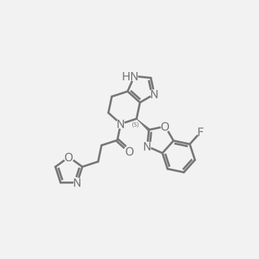 O=C(CCc1ncco1)N1CCc2[nH]cnc2[C@H]1c1nc2cccc(F)c2o1